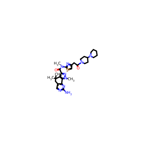 CN(C(=O)c1nn(C)c2c1C(C)(C)Cc1cnc(N)nc1-2)c1nc(CC(=O)N2CCC(N3CCCCC3)CC2)cs1